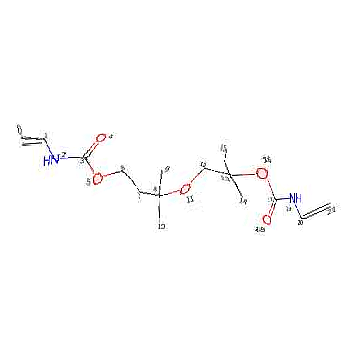 C=CNC(=O)OCCC(C)(C)OCC(C)(C)OC(=O)NC=C